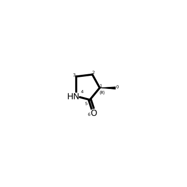 C[C@@H]1CCNC1=O